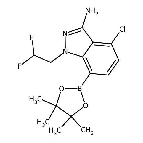 CC1(C)OB(c2ccc(Cl)c3c(N)nn(CC(F)F)c23)OC1(C)C